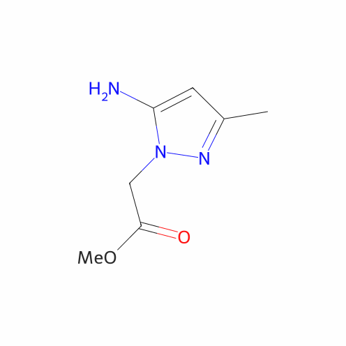 COC(=O)Cn1nc(C)cc1N